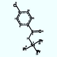 C[CH](C)[Sn]([CH2]S(=O)c1ccc(Cl)cc1)([CH](C)C)[CH](C)C